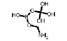 NCOB(O)OC(O)(O)O